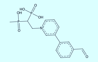 CP(=O)(O)C(C[n+]1cccc(-c2cccc(C=O)c2)c1)P(=O)(O)O